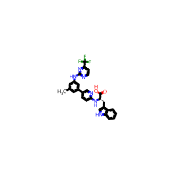 Cc1cc(Nc2nccc(C(F)(F)F)n2)cc(-c2ccc(N[C@@H](Cc3c[nH]c4ccccc34)C(=O)O)nc2)c1